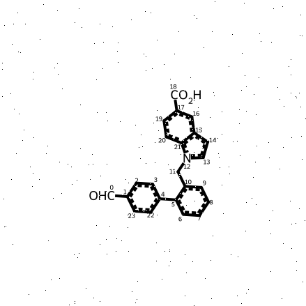 O=Cc1ccc(-c2ccccc2Cn2ccc3cc(C(=O)O)ccc32)cc1